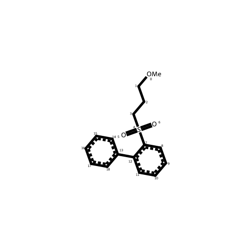 COCCCS(=O)(=O)c1ccccc1-c1ccccc1